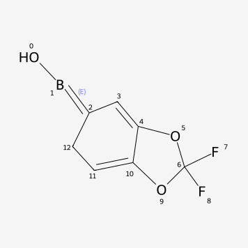 O/B=C1/C=C2OC(F)(F)OC2=CC1